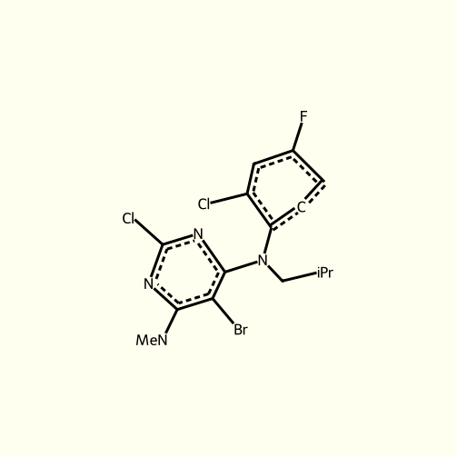 CNc1nc(Cl)nc(N(CC(C)C)c2ccc(F)cc2Cl)c1Br